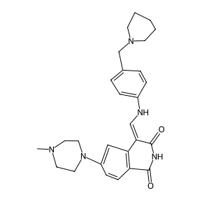 CN1CCN(c2ccc3c(c2)/C(=C/Nc2ccc(CN4CCCCC4)cc2)C(=O)NC3=O)CC1